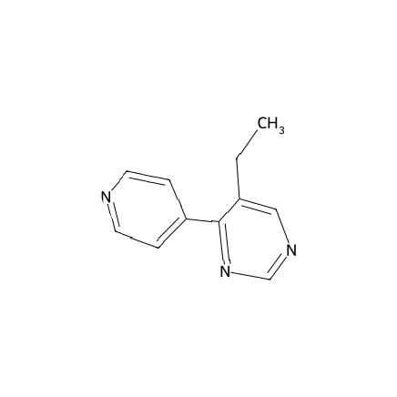 CCc1cncnc1-c1ccncc1